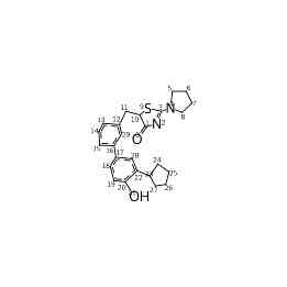 O=C1N=C(N2CCCC2)SC1Cc1cccc(-c2ccc(O)c(C3CCCC3)c2)c1